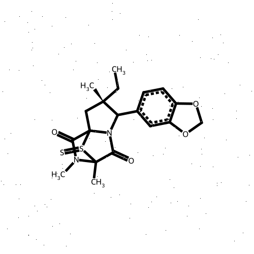 CC[C@@]1(C)CC23C(=O)N(C)C(C)(C(=O)N2C1c1ccc2c(c1)OCO2)S3=S